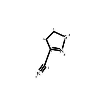 N#CC1=NSC[C]1